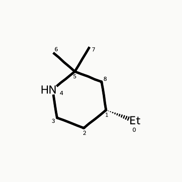 CC[C@@H]1CCNC(C)(C)C1